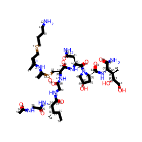 C=C(N/C(C)=C\CSCCCCN)[S+]([O-])C[C@H](NC(=O)CNC(=O)[C@@H](NC(=O)CNC(C)=O)[C@@H](C)CC)C(=O)N[C@@H](CC(N)=O)C(=O)N1C[C@H](O)C[C@H]1C(=O)N[C@H](C(N)=O)[C@@H](C)[C@@H](O)CO